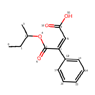 CCC(C)OC(=O)C(=CC(=O)O)c1ccccc1